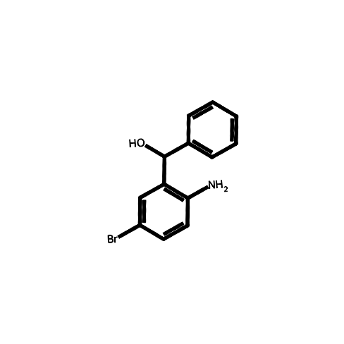 Nc1ccc(Br)cc1C(O)c1ccccc1